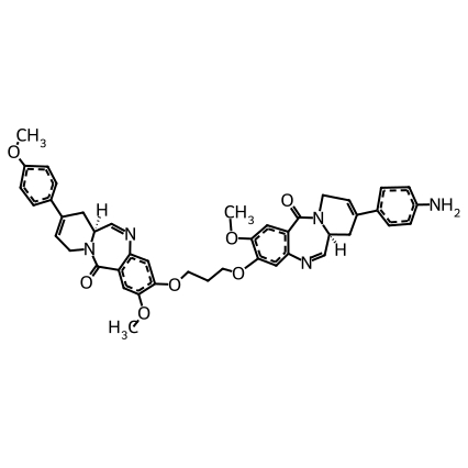 COc1ccc(C2=CCN3C(=O)c4cc(OC)c(OCCCOc5cc6c(cc5OC)C(=O)N5CC=C(c7ccc(N)cc7)C[C@H]5C=N6)cc4N=C[C@@H]3C2)cc1